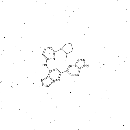 CC1CCCN1c1cccc(Nc2cc(-c3ccc4[nH]ncc4c3)nn3ccnc23)n1